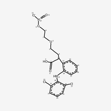 O=C(O)C(CCOCCO[N+](=O)[O-])c1ccccc1Nc1c(Cl)cccc1Cl